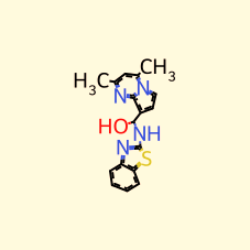 Cc1cc(C)n2ccc(C(O)Nc3nc4ccccc4s3)c2n1